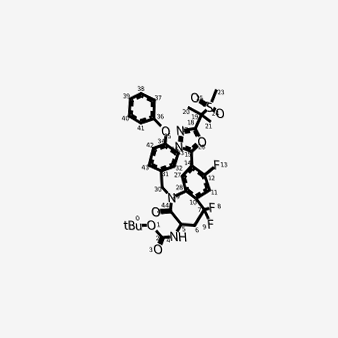 CC(C)(C)OC(=O)NC1CC(F)(F)c2cc(F)c(-c3nnc(C(C)(C)S(C)(=O)=O)o3)cc2N(Cc2ccc(Oc3ccccc3)cc2)C1=O